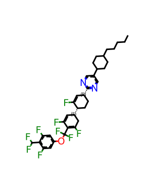 CCCCCC1CCC(c2cnc([C@H]3C=C(F)C([C@H]4C=C(F)C(C(F)(F)Oc5cc(F)c(C(F)F)c(F)c5)=C(F)C4)CC3)nc2)CC1